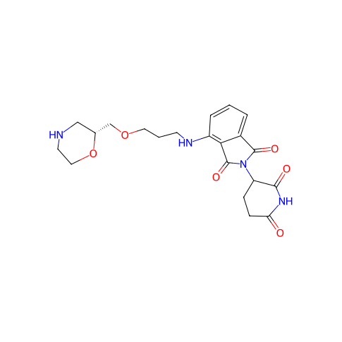 O=C1CCC(N2C(=O)c3cccc(NCCCOC[C@H]4CNCCO4)c3C2=O)C(=O)N1